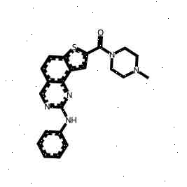 CN1CCN(C(=O)c2cc3c(ccc4cnc(Nc5ccccc5)nc43)s2)CC1